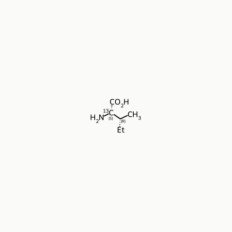 CC[C@@H](C)[13C@H](N)C(=O)O